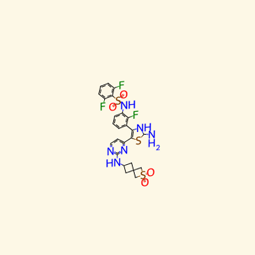 NC1NC(c2cccc(NS(=O)(=O)c3c(F)cccc3F)c2F)=C(c2ccnc(NC3CC4(C3)CS(=O)(=O)C4)n2)S1